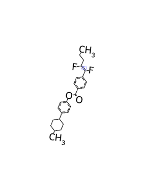 CCC/C(F)=C(\F)c1ccc(C(=O)Oc2ccc(C3CCC(C)CC3)cc2)cc1